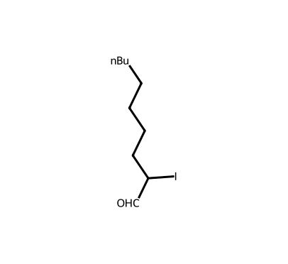 CCCCCCCCC(I)C=O